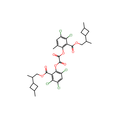 Cc1cc(Cl)c(Cl)c(C(=O)OCC(C)C2CC(C)C2)c1OC(=O)C(=O)Oc1c(Cl)cc(Cl)c(Cl)c1C(=O)OCC(C)C1CC(C)C1